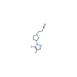 Cc1cnn(C2CCN(CCC#N)C2)c1I